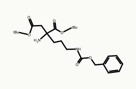 CC(C)(C)OC(=O)CC(N)(CCCNC(=O)OCc1ccccc1)C(=O)OC(C)(C)C